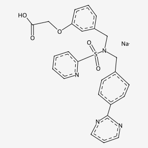 O=C(O)COc1cccc(CN(Cc2ccc(-c3ncccn3)cc2)S(=O)(=O)c2ccccn2)c1.[Na]